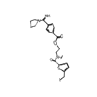 N=C(c1ccc(C(=O)OCCNC(=O)c2ccc(CI)s2)cc1)N1CCCC1